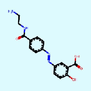 NCCNC(=O)c1ccc(/N=N/c2ccc(O)c(C(=O)O)c2)cc1